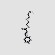 NCCOCCOC(=O)/C=C/c1ccccc1